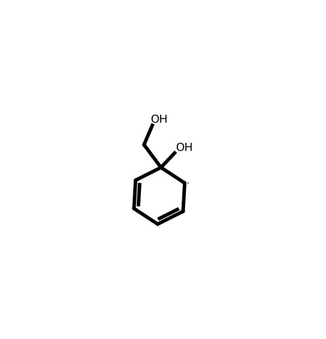 OCC1(O)[CH]C=CC=C1